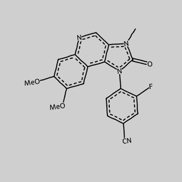 COc1cc2ncc3c(c2cc1OC)n(-c1ccc(C#N)cc1F)c(=O)n3C